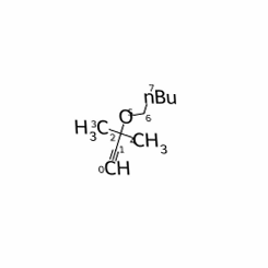 C#CC(C)(C)OCCCCC